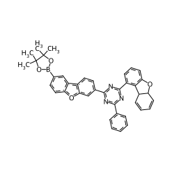 CC1(C)OB(c2ccc3oc4cc(-c5nc(-c6ccccc6)nc(-c6cccc7c6C6C=CC=CC6O7)n5)ccc4c3c2)OC1(C)C